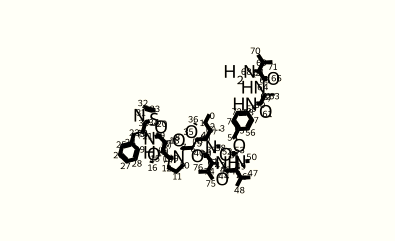 CC[C@H](C)[C@@H]([C@@H](CC(=O)N1CCC[C@H]1[C@H](OC)[C@@H](C)C(=O)N[C@@H](Cc1ccccc1)c1nccs1)OC)N(C)C(=O)[C@@H](NC(=O)C(C(C)C)N(C)C(=O)OCc1ccc(NC(=O)[C@H](C)NC(=O)[C@@H](N)C(C)C)cc1)C(C)C